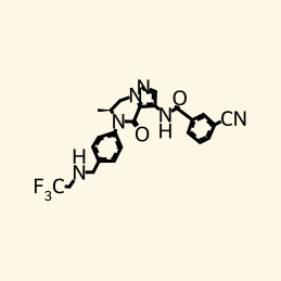 C[C@H]1Cn2ncc(NC(=O)c3cccc(C#N)c3)c2C(=O)N1c1ccc(CNCC(F)(F)F)cc1